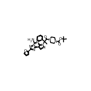 CC(C)(C)OC(=O)N1CCN(C(=O)C(C)(c2ccccc2)n2ncc3c2nc(N)n2nc(-c4ccco4)nc32)CC1